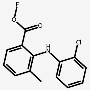 Cc1cccc(C(=O)OF)c1Nc1ccccc1Cl